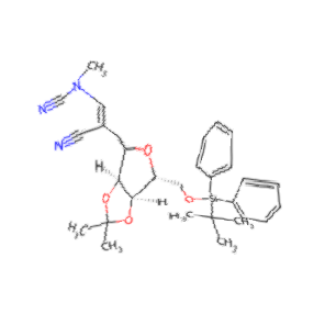 CN(C#N)/C=C(\C#N)C1O[C@H](CO[Si](c2ccccc2)(c2ccccc2)C(C)(C)C)[C@H]2OC(C)(C)O[C@@H]12